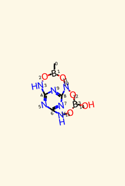 CB1ONc2nc3nc(n2)N(O1)OB(O)ON3